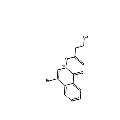 O=C(CCO)O[C@H]1C=C(Br)c2ccccc2C1=O